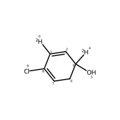 [2H]C1=CC([2H])(O)CC=C1Cl